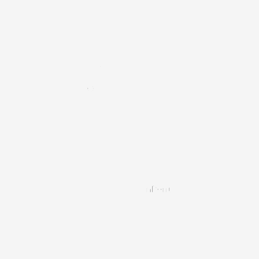 CCCCCC1CCC(C2CCO2)CC1